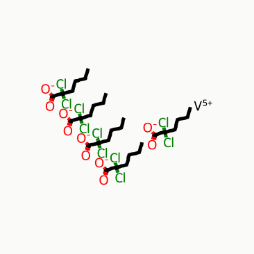 CCCCC(Cl)(Cl)C(=O)[O-].CCCCC(Cl)(Cl)C(=O)[O-].CCCCC(Cl)(Cl)C(=O)[O-].CCCCC(Cl)(Cl)C(=O)[O-].CCCCC(Cl)(Cl)C(=O)[O-].[V+5]